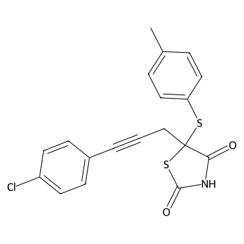 Cc1ccc(SC2(CC#Cc3ccc(Cl)cc3)SC(=O)NC2=O)cc1